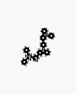 c1ccc(-c2nc(-c3ccccc3)nc(-c3cncc(-c4ccc5c(c4)c4ccccc4n5-c4ccc(-c5ccc6c7ccccc7n(-c7ccccc7)c6c5)cc4)c3)n2)cc1